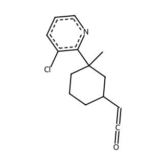 CC1(c2ncccc2Cl)CCCC(C=C=O)C1